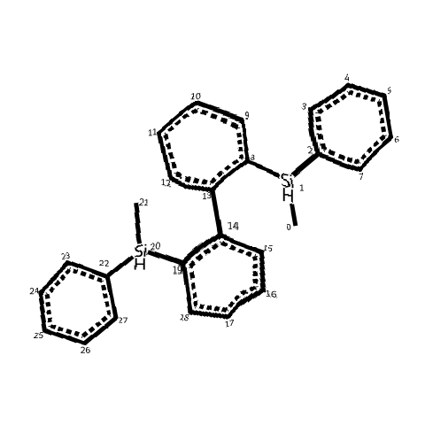 C[SiH](c1ccccc1)c1ccccc1-c1ccccc1[SiH](C)c1ccccc1